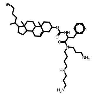 CC(C)CCCC(C)C1CCC2C3CC=C4CC(OC(=O)NC(Cc5ccccc5)C(=O)N(CCCN)CCCCNCCCN)CCC4(C)C3CCC12C